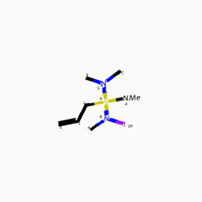 C=CCS(NC)(N(C)C)N(C)I